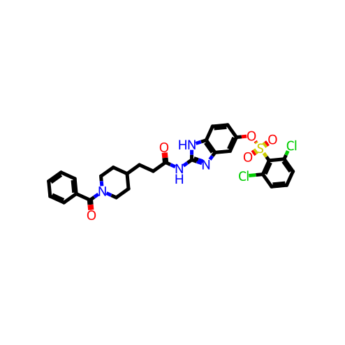 O=C(CCC1CCN(C(=O)c2ccccc2)CC1)Nc1nc2cc(OS(=O)(=O)c3c(Cl)cccc3Cl)ccc2[nH]1